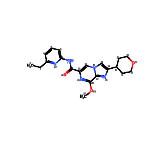 CCc1cccc(NC(=O)c2cn3cc(C4CCOCC4)nc3c(OC)n2)n1